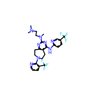 CN(C)CCN(C)c1nc2c(c(Nc3ccc(C(F)(F)F)cn3)n1)CCN(c1ncccc1C(F)(F)F)CC2